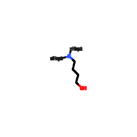 CCCCCCCN(CCCCO)CCCCCCC